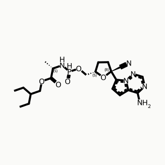 CCC(CC)COC(=O)[C@H](C)N[PH](=O)OC[C@@H]1CC[C@](C#N)(c2ccc3c(N)ncnn23)O1